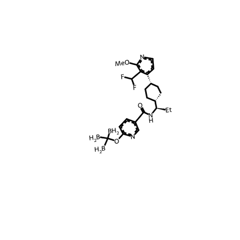 BC(B)(B)Oc1ccc(C(=O)N[C@H](CC)[C@H]2CC[C@@H](c3ccnc(OC)c3C(F)F)CC2)cn1